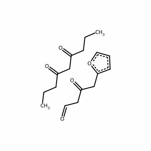 CCCC(=O)CC(=O)CCC.O=CCC(=O)Cc1ccco1